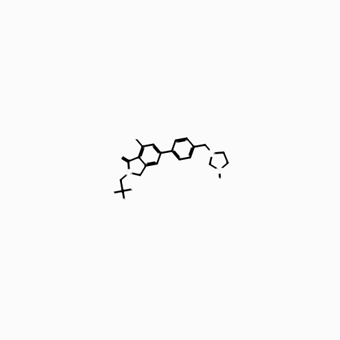 CN1CCN(Cc2ccc(-c3cc(Cl)c4c(c3)CN(CC(F)(F)F)C4=O)cc2)C1